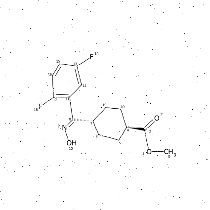 COC(=O)[C@H]1CC[C@H](/C(=N\O)c2cc(F)ccc2F)CC1